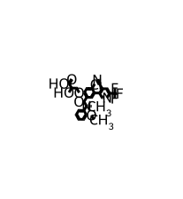 COc1ccccc1N(C)C(=O)c1cc(-c2cnc(C(F)(F)F)cc2C#N)c(Cl)cc1OCC(O)C(=O)O